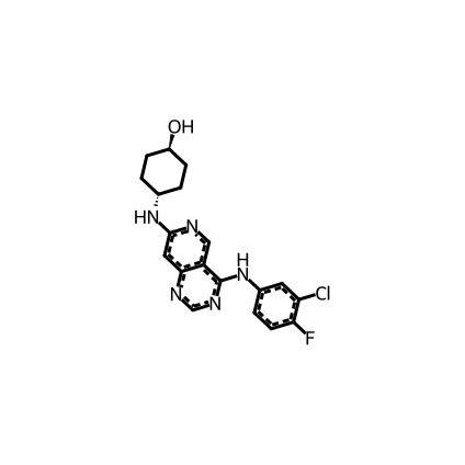 O[C@H]1CC[C@H](Nc2cc3ncnc(Nc4ccc(F)c(Cl)c4)c3cn2)CC1